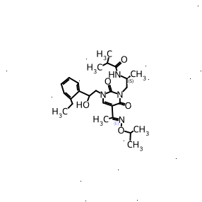 CCc1ccccc1C(O)Cn1cc(/C(C)=N/OC(C)C)c(=O)n(C[C@H](C)NC(=O)C(C)C)c1=O